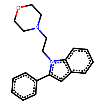 c1ccc(-c2cc3ccccc3n2CCN2CCOCC2)cc1